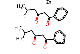 CC(C)CC(=O)CC(=O)c1ccccc1.CC(C)CC(=O)CC(=O)c1ccccc1.[Zn]